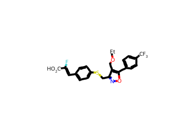 CCOCc1c(CSc2ccc(C=C(F)C(=O)O)cc2)noc1-c1ccc(C(F)(F)F)cc1